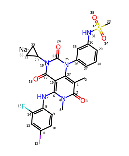 Cc1c(=O)n(C)c(Nc2ccc(I)cc2F)c2c(=O)n(C3CC3)c(=O)n(-c3cccc(NS(C)(=O)=O)c3)c12.[Na]